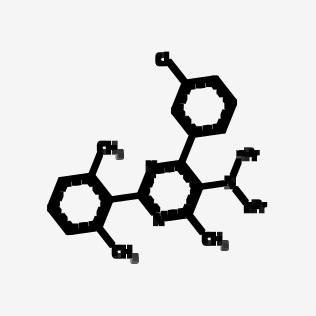 CCCN(CCC)c1c(C)nc(-c2c(C)cccc2C)nc1-c1cccc(Cl)c1